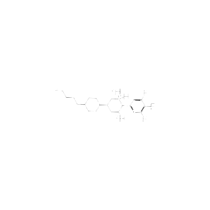 [2H]C1CC(C2CCC(CCCCC)CC2)CC([2H])([2H])C1c1cc(F)c(F)c(F)c1